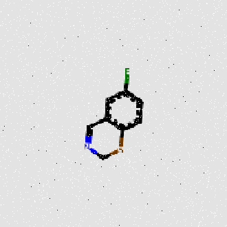 Fc1ccc2c(c1)C=NCS2